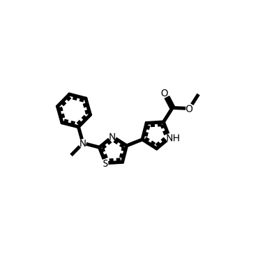 COC(=O)c1cc(-c2csc(N(C)c3ccccc3)n2)c[nH]1